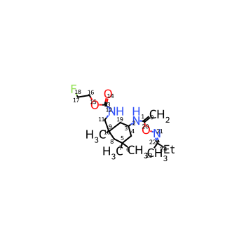 C=C(NC1CC(C)(C)CC(C)(CNC(=O)OCCF)C1)ON=C(C)CC